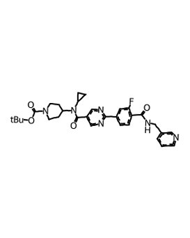 CC(C)(C)OC(=O)N1CCC(N(C(=O)c2cnc(-c3ccc(C(=O)NCc4cccnc4)c(F)c3)nc2)C2CC2)CC1